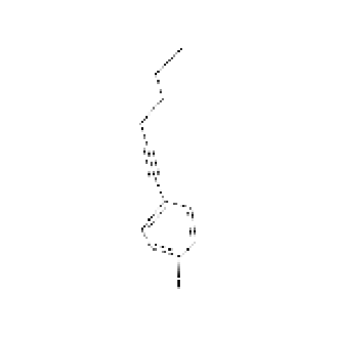 CCCCC#Cc1ccc(I)cc1